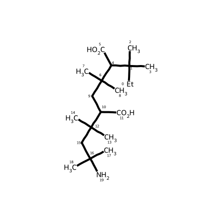 CCC(C)(C)C(C(=O)O)C(C)(C)CC(C(=O)O)C(C)(C)CC(C)(C)N